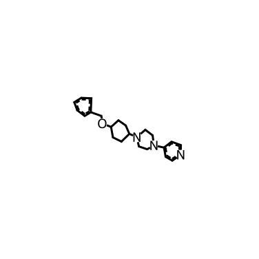 c1ccc(COC2CCC(N3CCN(c4ccncc4)CC3)CC2)cc1